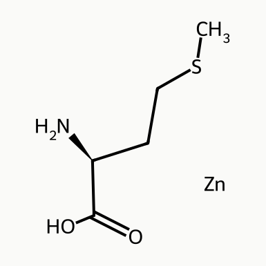 CSCC[C@H](N)C(=O)O.[Zn]